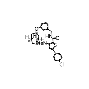 CNc1cc(-c2ccc(Cl)cc2)sc1C(=O)NCc1cccc(O[C@H]2C[C@H]3CC[C@@H](C2)N3C)c1